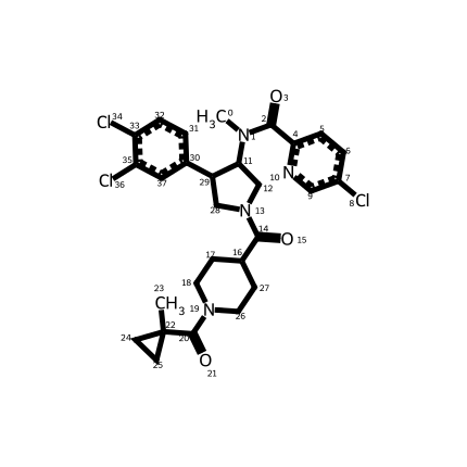 CN(C(=O)c1ccc(Cl)cn1)C1CN(C(=O)C2CCN(C(=O)C3(C)CC3)CC2)CC1c1ccc(Cl)c(Cl)c1